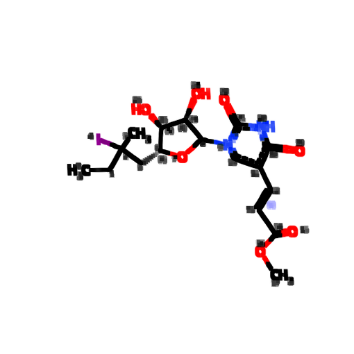 CCC(C)(I)C[C@H]1OC(n2cc(/C=C/C(=O)OC)c(=O)[nH]c2=O)[C@H](O)[C@@H]1O